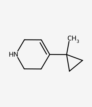 CC1(C2=CCNCC2)CC1